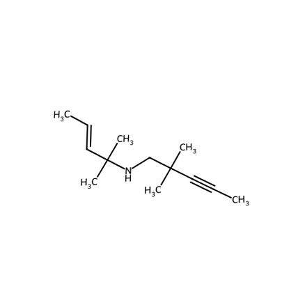 CC#CC(C)(C)CNC(C)(C)C=CC